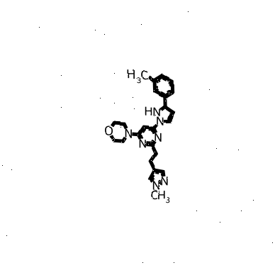 Cc1cccc(C2C=CN(c3cc(N4CCOCC4)nc(CCc4cnn(C)c4)n3)N2)c1